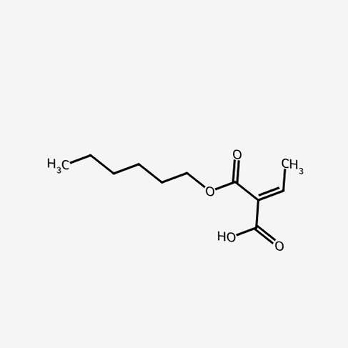 CC=C(C(=O)O)C(=O)OCCCCCC